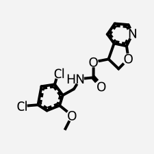 COc1cc(Cl)cc(Cl)c1CNC(=O)OC1COc2ncccc21